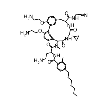 CCCCCCCc1ccc(C(=O)N[C@@H](CCN)C(=O)N(C)[C@@H]2C(=O)N[C@@H](C3CC3)C(=O)N[C@H](C(=O)NCC#N)Cc3ccc(OCCN)c(c3)-c3cc2ccc3OCCN)c(C)c1